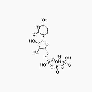 O=C1NC(O)CCN1[C@@H]1O[C@H](COP(=O)(O)OP(=O)(O)OP(=O)(O)O)[C@@H](O)[C@H]1O